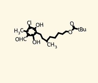 Cc1c(Cl)c(O)c(CCC(C)CCCCCOC(=O)C(C)(C)C)c(O)c1C=O